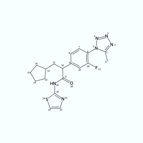 Cc1nnnn1-c1ccc(C(CC2CCCC2)C(=O)Nc2nccs2)cc1F